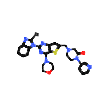 CCc1nc2ccccc2n1-c1nc(N2CCOCC2)c2sc(CN3CCN(c4cccnc4)C(=O)C3)cc2n1